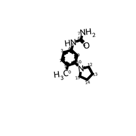 Cc1ccc(NC(N)=O)cc1N1CCCC1